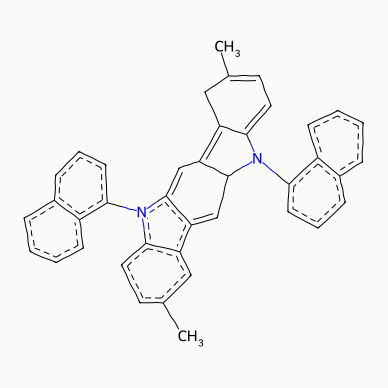 CC1=CC=C2C(=C3C=c4c(c5cc(C)ccc5n4-c4cccc5ccccc45)=CC3N2c2cccc3ccccc23)C1